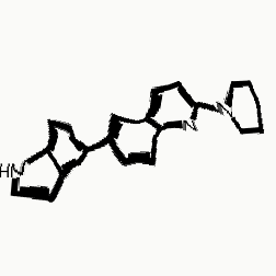 c1cc2cc(-c3ccc4nc(N5CCCCC5)ccc4c3)ccc2[nH]1